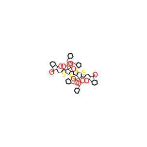 O=C1C(=Cc2cc3c(s2)-c2sc4c5c(sc4c2C3(C(=O)OCc2ccccc2)C(=O)OCc2ccccc2)-c2sc(C=C3C(=O)c4ccccc4C3=O)cc2C5(C(=O)OCc2ccccc2)C(=O)OCc2ccccc2)C(=O)c2ccccc21